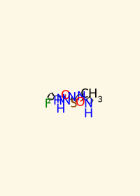 CN(Cc1csc(NC(=O)NCc2cccc(F)c2)n1)C(=O)[C@@H]1CCCN1